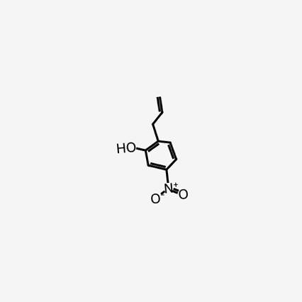 C=CCc1ccc([N+](=O)[O-])cc1O